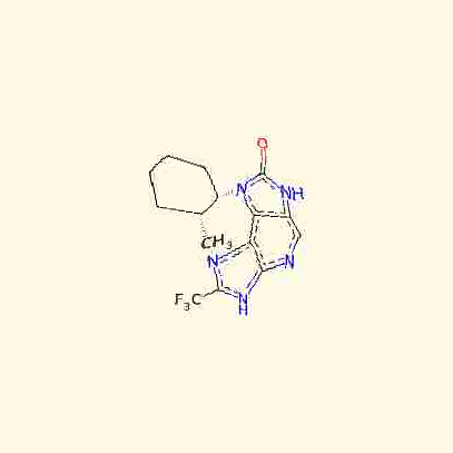 C[C@@H]1CCCC[C@@H]1n1c(=O)[nH]c2cnc3[nH]c(C(F)(F)F)nc3c21